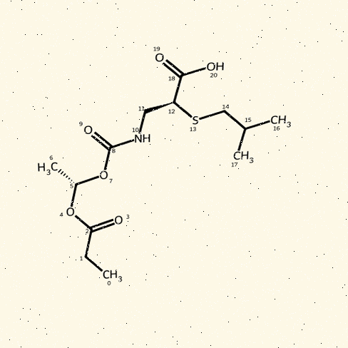 CCC(=O)O[C@H](C)OC(=O)NC[C@H](SCC(C)C)C(=O)O